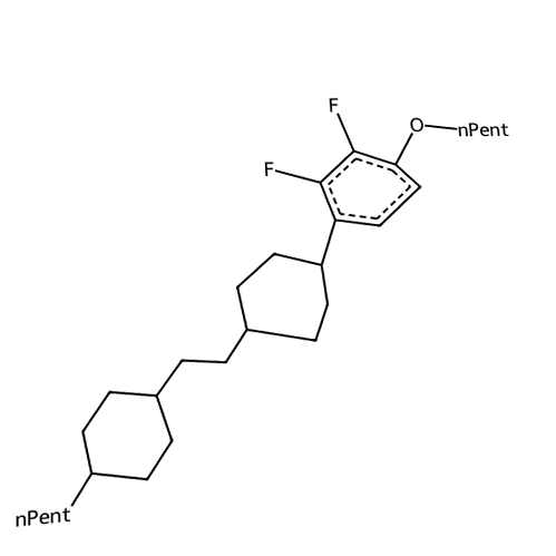 CCCCCOc1ccc(C2CCC(CCC3CCC(CCCCC)CC3)CC2)c(F)c1F